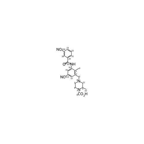 Cc1c(CN2CCN(C(=O)O)C(C)C2)cc(C#N)cc1NC(=O)c1cccc(C#N)c1